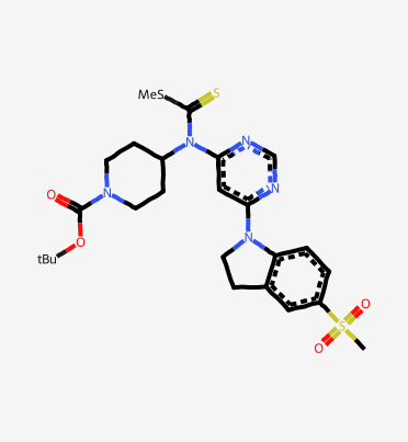 CSC(=S)N(c1cc(N2CCc3cc(S(C)(=O)=O)ccc32)ncn1)C1CCN(C(=O)OC(C)(C)C)CC1